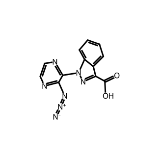 [N-]=[N+]=Nc1nccnc1-n1nc(C(=O)O)c2ccccc21